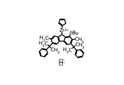 CCCCc1c(C)c(C(C)(C)c2ccccc2)cc2c1[CH]([Zr+2][C]1=CC=CC1)c1cc(C)c(C(C)(C)c3ccccc3)cc1-2.[Cl-].[Cl-]